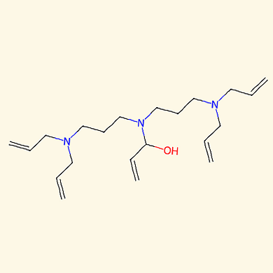 C=CCN(CC=C)CCCN(CCCN(CC=C)CC=C)C(O)C=C